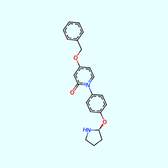 O=c1cc(OCc2ccccc2)ccn1-c1ccc(O[C@H]2CCCN2)cc1